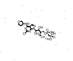 CO[C@H](COP(=O)(O)CP(=O)(O)O)[C@@H](O)[C@@H](O)n1ncc2c(N[C@H]3CCOC3)nc(Cl)nc21